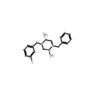 C[C@@H]1CN([CH]c2ccccc2)[C@@H](C)CN1Cc1cccc(F)c1